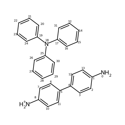 Nc1ccc(-c2ccc(N)cc2)cc1.c1ccc(N(c2ccccc2)c2ccccc2)cc1